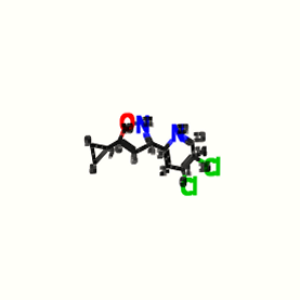 Clc1[c]c(-c2cc(C3CC3)on2)ncc1Cl